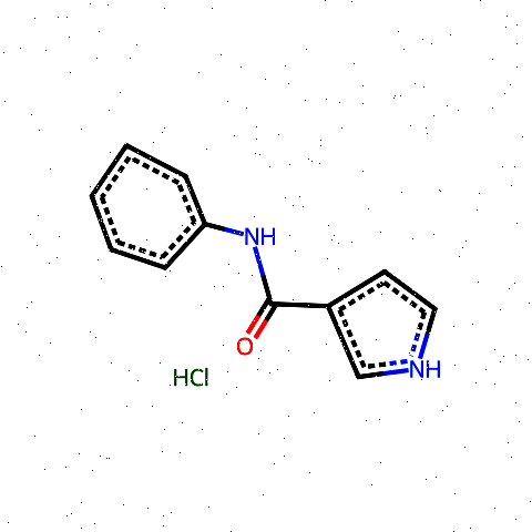 Cl.O=C(Nc1ccccc1)c1cc[nH]c1